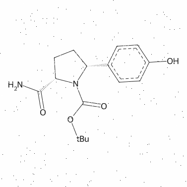 CC(C)(C)OC(=O)N1[C@@H](c2ccc(O)cc2)CC[C@H]1C(N)=O